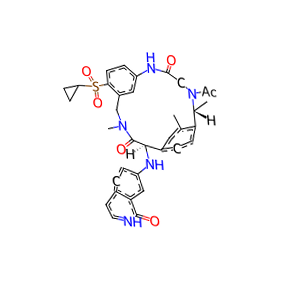 CC(=O)N1CC(=O)Nc2ccc(S(=O)(=O)C3CC3)c(c2)CN(C)C(=O)[C@H](Nc2ccc3cc[nH]c(=O)c3c2)c2ccc(c(C)c2)[C@H]1C